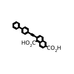 O=C(O)c1ccc2c(C(=O)O)c(C#Cc3ccc(-c4ccccc4)cc3)ccc2c1